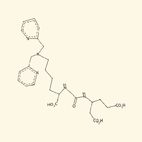 O=C(O)CCC(CC(=O)O)NC(=O)NC(CCCCN(Cc1ccccn1)Cc1ccccn1)C(=O)O